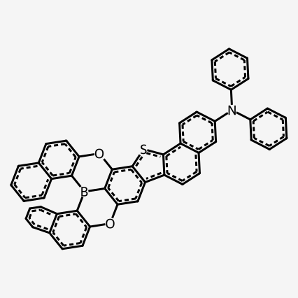 c1ccc(N(c2ccccc2)c2ccc3c(ccc4c5cc6c7c(c5sc34)Oc3ccc4ccccc4c3B7c3c(ccc4ccccc34)O6)c2)cc1